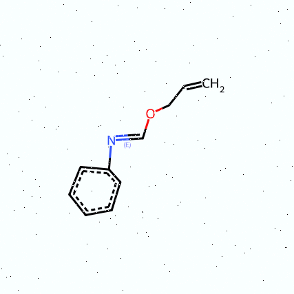 C=CCO/C=N/c1ccccc1